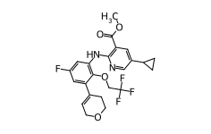 COC(=O)c1cc(C2CC2)cnc1Nc1cc(F)cc(C2=CCOCC2)c1OCC(F)(F)F